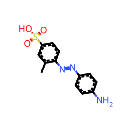 Cc1cc(S(=O)(=O)O)ccc1/N=N/c1ccc(N)cc1